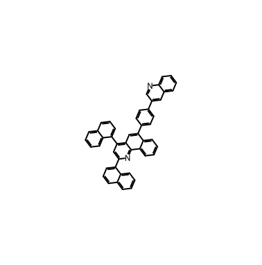 c1ccc2ncc(-c3ccc(-c4cc5c(-c6cccc7ccccc67)cc(-c6cccc7ccccc67)nc5c5ccccc45)cc3)cc2c1